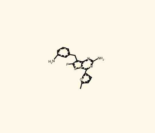 Cc1ccc(-c2nc(N)nc3c(Cc4cccc(N)c4)c(F)nn23)o1